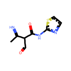 CC(=N)C(C=O)C(=O)Nc1nccs1